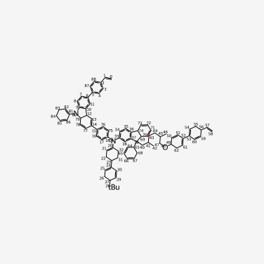 C=Cc1ccc(-c2ccc3c(c2)C2C=C(c4ccc(N(C5=CCC(C6=CCC(C(C)(C)C)C=C6)CC5)c5ccc6c(c5)C(CC(C)CCC(C)COC5C=CC(C7=CCC(C=C)C=C7)=CC5)(C5C=CC=CC5)C5C=CC=CC65)cc4)C=CC2N3C2=CCCC=C2)cc1